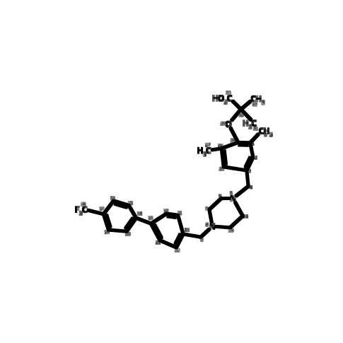 Cc1cc(CN2CCN(Cc3ccc(-c4ccc(C(F)(F)F)cc4)cc3)CC2)cc(C)c1OC(C)(C)C(=O)O